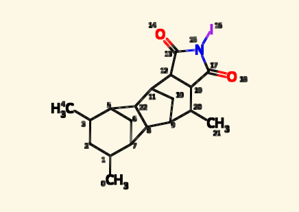 CC1CC(C)C2CC1C1C3CC(C4C(=O)N(I)C(=O)C4C3C)C21